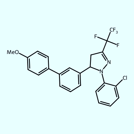 COc1ccc(-c2cccc(C3CC(C(F)(F)C(F)(F)F)=NN3c3ccccc3Cl)c2)cc1